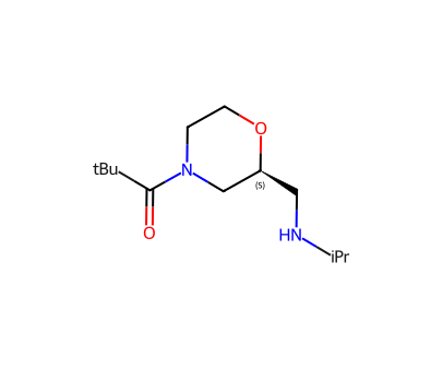 CC(C)NC[C@H]1CN(C(=O)C(C)(C)C)CCO1